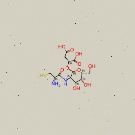 N[C@@H](CS)C(=O)N[C@H]1[C@@H](O[C@@H](CC(=O)O)C(=O)O)O[C@H](CO)[C@@H](O)[C@@H]1O